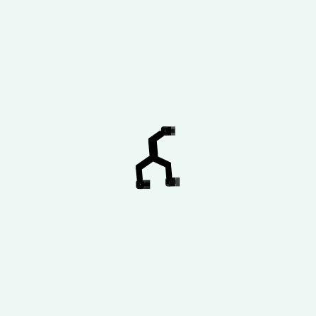 OC=C(CO)CO